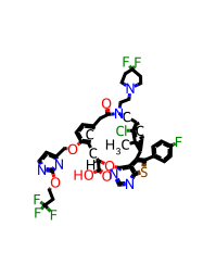 Cc1c2ccc(c1Cl)CN(CCN1CCC(F)(F)CC1)C(=O)Cc1ccc(OCc3ccnc(OCCC(F)(F)F)n3)c(c1)C[C@H](C(=O)O)Oc1ncnc3sc(-c4ccc(F)cc4)c-2c13